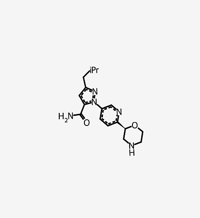 CC(C)Cc1cc(C(N)=O)n(-c2ccc([C@@H]3CNCCO3)nc2)n1